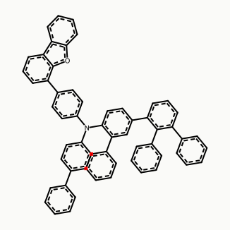 c1ccc(-c2ccc(N(c3ccc(-c4cccc5c4oc4ccccc45)cc3)c3ccc(-c4cccc(-c5ccccc5)c4-c4ccccc4)cc3-c3ccccc3)cc2)cc1